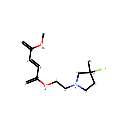 C=C(/C=C/C(=C)OCCN1CCC(C)(F)C1)OC